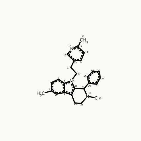 Cc1ccc2c(c1)c1c(n2CCc2ccc(C)nc2)C(c2ccccc2)N(Cl)CC1